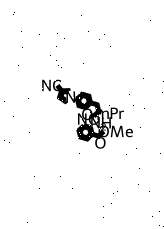 CCCC(Cc1ccc(-n2ccc(C#N)c2)cc1)C(=O)Nc1c(C(=O)OC)cccc1[N+](=O)[O-]